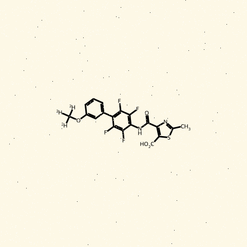 [2H]C([2H])([2H])Oc1cccc(-c2c(F)c(F)c(NC(=O)c3nc(C)sc3C(=O)O)c(F)c2F)c1